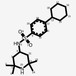 CC1(C)CC(NS(=O)(=O)c2ccc(C3CCCCC3)cc2)CC(C)(C)N1